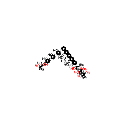 CC(C)C(O)C(C)C(O)C(C)(C)C.CCC(C)C(O)CCO.CCCC(C)(O)CCO.CCCC(O)(CC)CCO.O=C(O)c1ccccc1.O=C(O)c1ccccc1.O=C(O)c1ccccc1.O=C(O)c1ccccc1.O=C(O)c1ccccc1.O=C(O)c1ccccc1.O=C(O)c1ccccc1.O=C(O)c1ccccc1